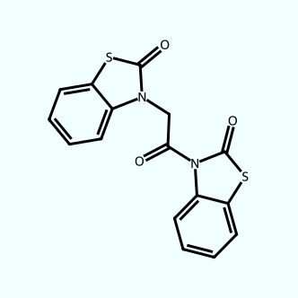 O=C(Cn1c(=O)sc2ccccc21)n1c(=O)sc2ccccc21